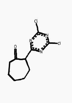 O=C1CCCCCC1c1nc(Cl)nc(Cl)n1